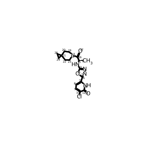 C[C@@H](Nc1nnc(-c2ccc(Cl)c(=O)[nH]2)o1)C(=O)N1CCC2(CC1)CC2